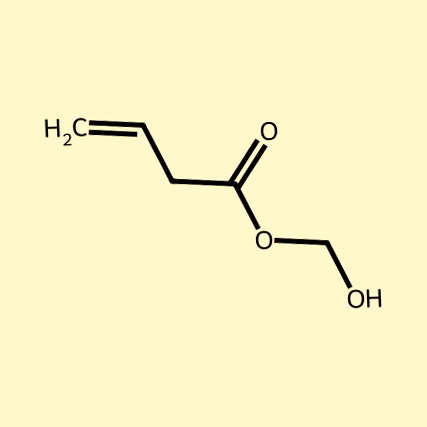 C=CCC(=O)OCO